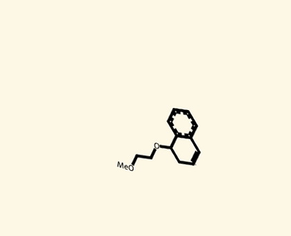 COCCOC1C[C]=Cc2ccccc21